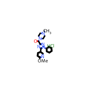 COc1ccc(-c2nc(C(=O)N3CCN(C)CC3)nn2-c2ccccc2)cn1.Cl